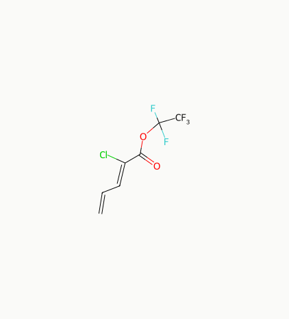 C=CC=C(Cl)C(=O)OC(F)(F)C(F)(F)F